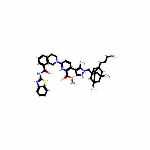 Cc1c(-c2ccc(N3CCc4cccc(C(=O)Nc5nc6ccccc6s5)c4C3)nc2C(=O)OC(C)(C)C)cnn1CC12CC3(C)CC(C)(CC(CCCN)(C3)C1)C2